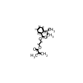 C=C(C)C(=O)OCCOC(=O)c1ccccc1N(C)C